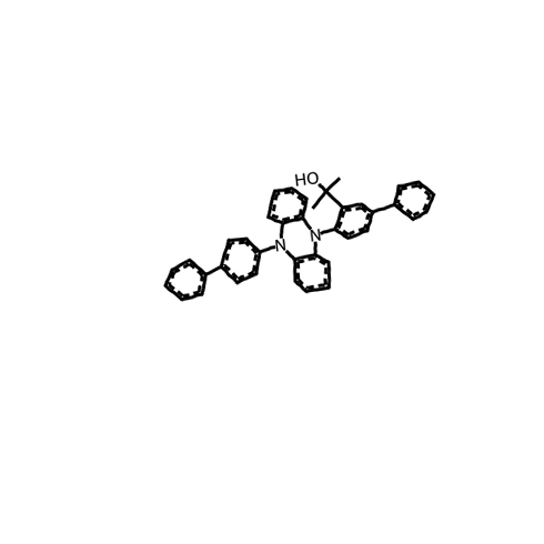 CC(C)(O)c1cc(-c2ccccc2)ccc1N1c2ccccc2N(c2ccc(-c3ccccc3)cc2)c2ccccc21